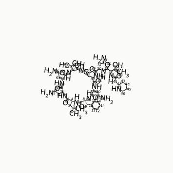 CC(C)C[C@@H]1NC(=O)[C@@H](Cc2ccccc2)NC(=O)[C@H](CCN)NC(=O)[C@@H](NC(=O)[C@H](CCN)NC(=O)[C@@H](NC(=O)C[C@@H]2CCCCN2)C(C)O)CCNC(=O)[C@H](C(C)O)NC(=O)[C@H](CCN)NC(=O)C(CCN)NC1=O